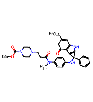 CCOC(=O)C1=Cc2[nH]c3c(c2C(=O)C1)C3(Nc1ccc(N(C)C(=O)CCN2CCN(C(=O)OC(C)(C)C)CC2)cc1)c1ccccc1